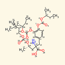 CCC(C)OC(=O)Oc1ccc(CC(N)(C[C@H](C)OC(=O)OCCC(C)C)C(=O)O)cc1OC(=O)OC(C)CC